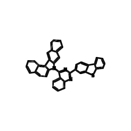 c1ccc2cc3c(cc2c1)c1c2ccccc2ccc1n3-c1nc(-c2ccc3c(c2)sc2ccccc23)nc2ccccc12